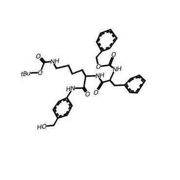 CC(C)(C)OC(=O)NCCCCC(NC(=O)C(Cc1ccccc1)NC(=O)OCc1ccccc1)C(=O)Nc1ccc(CO)cc1